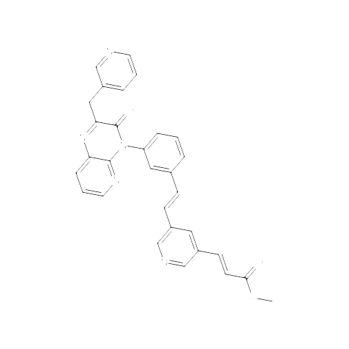 COC(=O)C=Cc1cncc(C=Cc2cccc(-n3c(=O)c(Cc4cccnc4)nc4cccnc43)c2)c1